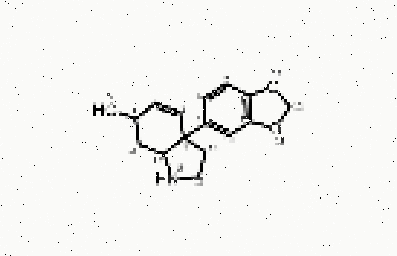 OC1C=CC2(c3ccc4c(c3)OCO4)CCNC2C1